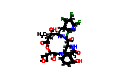 C[C@H]1NC(=O)C(C2COC2)OC(=O)[C@H](C)[C@H](O)[C@H](Cc2c(F)nc(F)c(F)c2F)NC(=O)[C@H]1NC(=O)c1ccccc1O